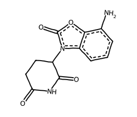 Nc1cccc2c1oc(=O)n2C1CCC(=O)NC1=O